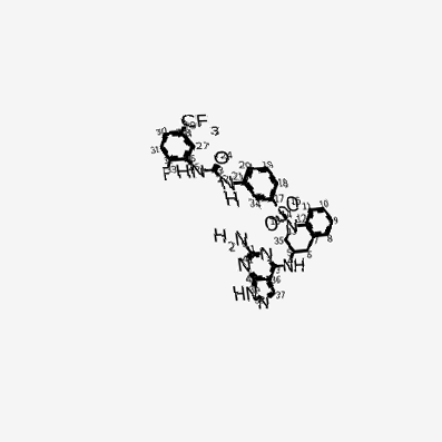 Nc1nc(NC2Cc3ccccc3N(S(=O)(=O)c3cccc(NC(=O)Nc4cc(C(F)(F)F)ccc4F)c3)C2)c2cn[nH]c2n1